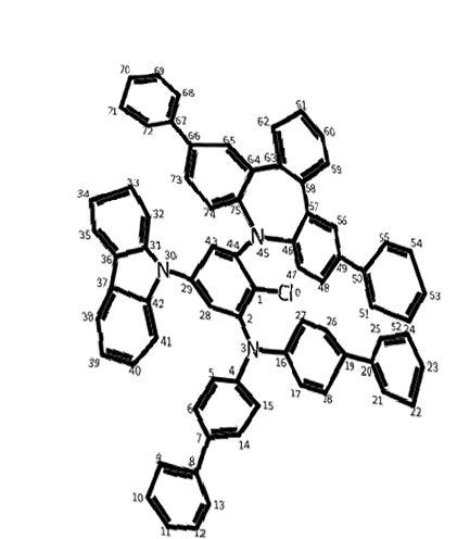 Clc1c(N(c2ccc(-c3ccccc3)cc2)c2ccc(-c3ccccc3)cc2)cc(-n2c3ccccc3c3ccccc32)cc1N1c2ccc(-c3ccccc3)cc2-c2ccccc2-c2cc(-c3ccccc3)ccc21